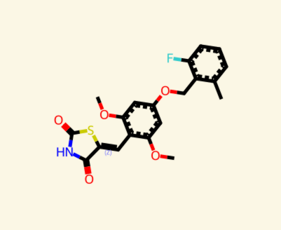 COc1cc(OCc2c(C)cccc2F)cc(OC)c1/C=C1\SC(=O)NC1=O